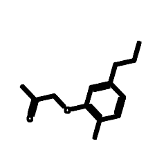 CCCc1ccc(C)c(OCC(C)=O)c1